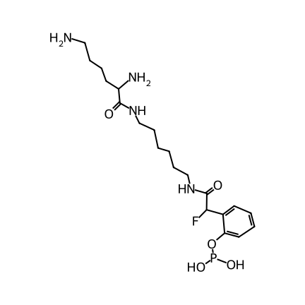 NCCCCC(N)C(=O)NCCCCCCNC(=O)C(F)c1ccccc1OP(O)O